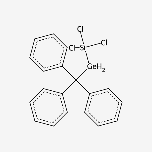 Cl[Si](Cl)(Cl)[GeH2][C](c1ccccc1)(c1ccccc1)c1ccccc1